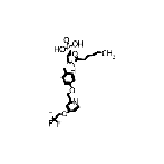 CCCCCC(=O)N[C@@H](/C=C/P(=O)(O)O)Cc1ccc(OCc2cc(OCC(F)(F)F)ccn2)cc1